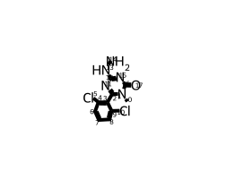 Cn1c(-c2c(Cl)cccc2Cl)nc(NN)nc1=O